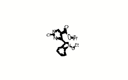 CCOn1cc(-c2nc(Cl)ncc2C(=O)OC(C)C)c2ccccc21